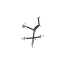 C/C=C(\Br)C(F)(F)F